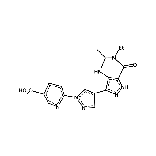 CCN1C(=O)c2[nH]nc(-c3cnn(-c4ccc(C(=O)O)cn4)c3)c2NC1C